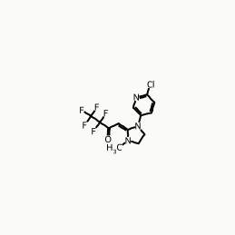 CN1CCN(c2ccc(Cl)nc2)C1=CC(=O)C(F)(F)C(F)(F)F